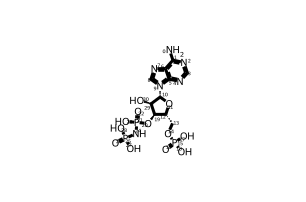 Nc1ncnc2c1ncn2[C@@H]1O[C@H](COP(=O)(O)O)[C@@H](OP(=O)(O)NP(=O)(O)O)[C@H]1O